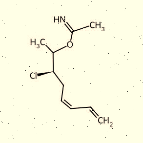 C=C/C=C\C[C@@H](Cl)C(C)OC(C)=N